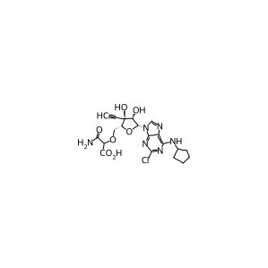 C#C[C@@]1(O)[C@@H](COC(C(N)=O)C(=O)O)O[C@@H](n2cnc3c(NC4CCCC4)nc(Cl)nc32)[C@@H]1O